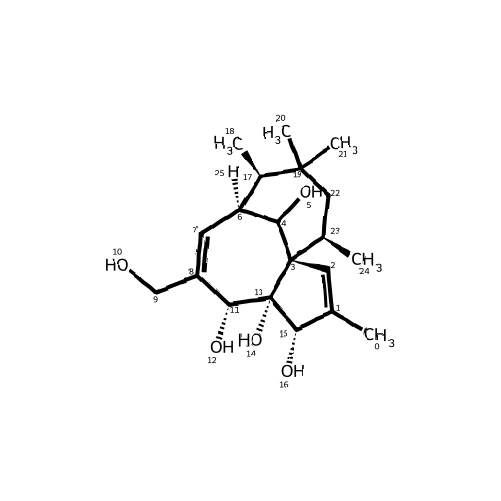 CC1=C[C@]23C(O)[C@@H](C=C(CO)[C@@H](O)[C@]2(O)[C@H]1O)[C@@H](C)C(C)(C)C[C@H]3C